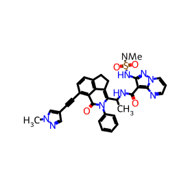 CNS(=O)(=O)Nc1nn2cccnc2c1C(=O)NC(C)c1c2c3c(ccc(C#Cc4cnn(C)c4)c3c(=O)n1-c1ccccc1)CC2